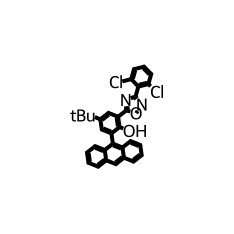 CC(C)(C)c1cc(-c2nc(-c3c(Cl)cccc3Cl)no2)c(O)c(-c2c3ccccc3cc3ccccc23)c1